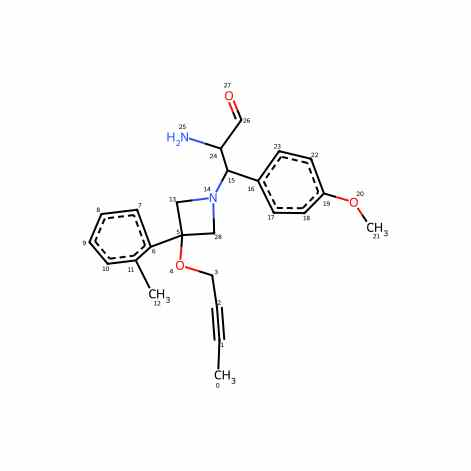 CC#CCOC1(c2ccccc2C)CN(C(c2ccc(OC)cc2)C(N)C=O)C1